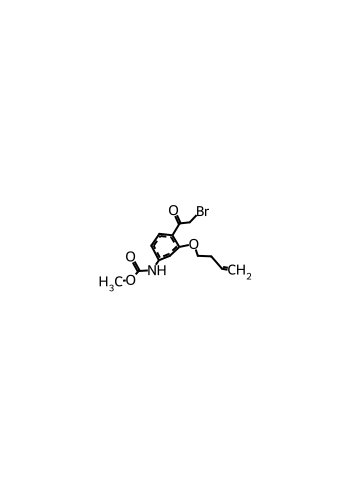 C=CCCOc1cc(NC(=O)OC)ccc1C(=O)CBr